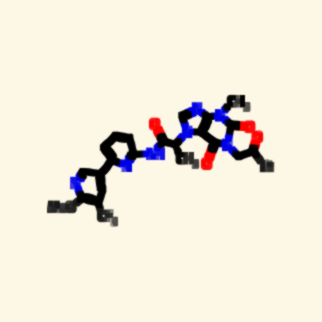 CCC(=O)Cn1c(=O)c2c(ncn2[C@@H](C)C(=O)Nc2cccc(-c3cnc(OC)c(C(F)(F)F)c3)n2)n(C)c1=O